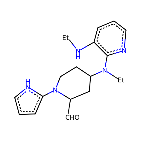 CCNc1cccnc1N(CC)C1CCN(c2ccc[nH]2)C(C=O)C1